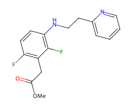 COC(=O)Cc1c(F)ccc(NCCc2ccccn2)c1F